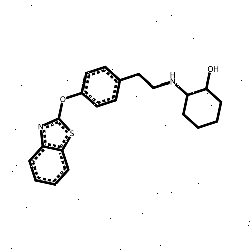 OC1CCCCC1NCCc1ccc(Oc2nc3ccccc3s2)cc1